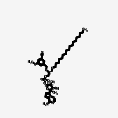 CCCCCCCCCCCCCCCCCCOC[C@H](COP(=O)(O)O[C@H]1O[C@@](C)(c2ccc3c(N)ncnn23)[C@H](O)[C@@H]1O)OCc1cc(C#N)cc(OC)c1